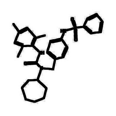 Cc1cc(C)c(NC(=O)N(Cc2ccc(NS(=O)(=O)c3ccccc3)cc2)C2CCCCCC2)c(C)c1